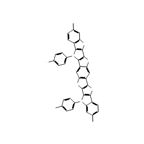 Cc1ccc(-n2c3cc(C)ccc3c3oc4c5cc6oc7c8oc9cc(C)ccc9c8n(-c8ccc(O)cc8)c7c6cc5oc4c32)cc1